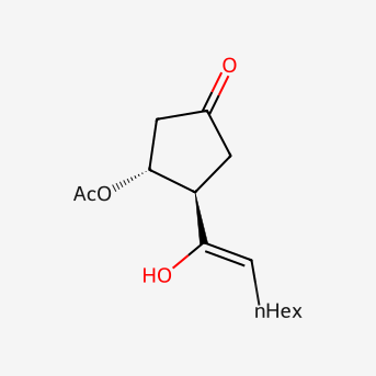 CCCCCC/C=C(\O)[C@@H]1CC(=O)C[C@H]1OC(C)=O